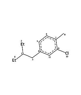 CCC(CC)Cc1ccc(C)c(Cl)c1